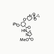 COC(=O)c1csc(NC(=O)c2cc(Oc3ccc(S(=O)(=O)C4CC4)nc3)cc(OC(C)C)c2)n1